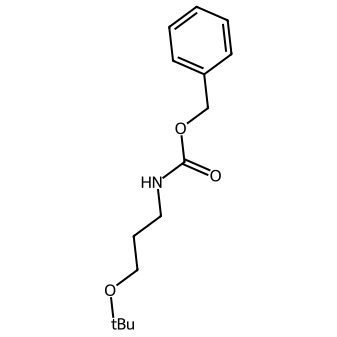 CC(C)(C)OCCCNC(=O)OCc1ccccc1